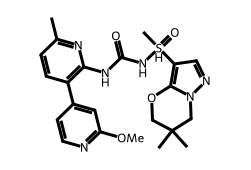 COc1cc(-c2ccc(C)nc2NC(=O)N[SH](C)(=O)c2cnn3c2OCC(C)(C)C3)ccn1